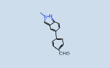 Cn1cc2cc(-c3ccc(C=O)cc3)ccc2n1